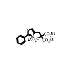 CCOC(=O)C(Cc1csc(-c2ccccc2)n1)(C(=O)OCC)C(=O)OCC